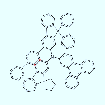 c1ccc(-c2ccc(-c3cc4c(cc3N(c3ccc5c(c3)C3(CCCC3)c3ccccc3-5)c3ccc5c6ccccc6c6ccccc6c5c3)C3(c5ccccc5-c5ccccc53)c3ccccc3-4)cc2)cc1